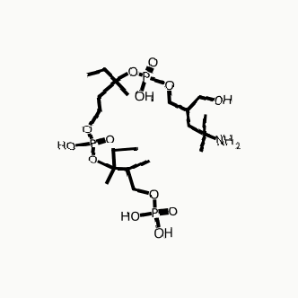 CCC(C)(CCOP(=O)(O)OC(C)(CC)C(C)COP(=O)(O)O)OP(=O)(O)OCC(CO)CC(C)(C)N